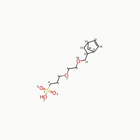 O=S(=O)(O)CCCOCCOCC1CC2C=CC1C2